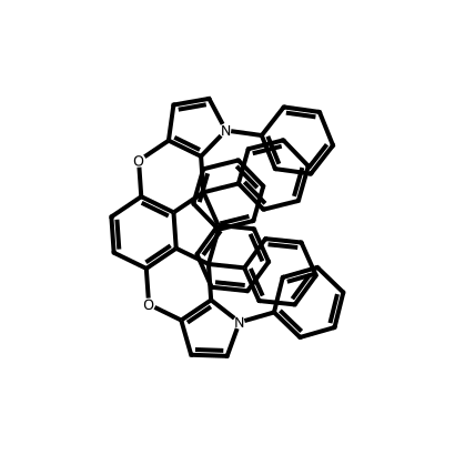 c1ccc(-n2ccc3c2C(c2ccccc2)(c2ccccc2)c2c(ccc4c2C(c2ccccc2)(c2ccccc2)c2c(ccn2-c2ccccc2)O4)O3)cc1